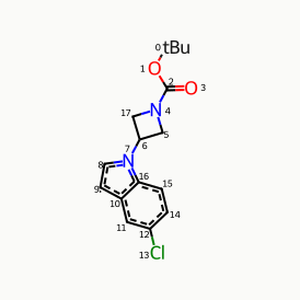 CC(C)(C)OC(=O)N1CC(n2c[c]c3cc(Cl)ccc32)C1